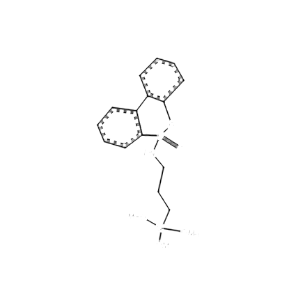 CO[Si](CCCNP1(=O)Oc2ccccc2-c2ccccc21)(OC)OC